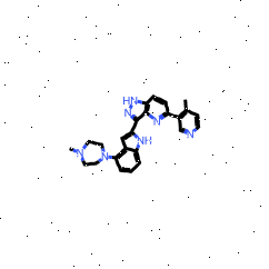 Cc1ccncc1-c1ccc2[nH]nc(-c3cc4c(N5CCN(C)CC5)cccc4[nH]3)c2n1